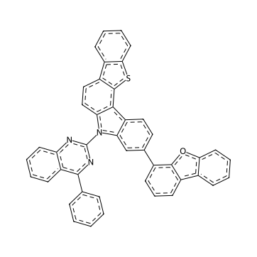 c1ccc(-c2nc(-n3c4cc(-c5cccc6c5oc5ccccc56)ccc4c4c5sc6ccccc6c5ccc43)nc3ccccc23)cc1